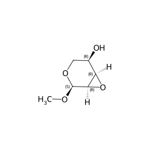 CO[C@H]1OC[C@@H](O)[C@H]2O[C@@H]12